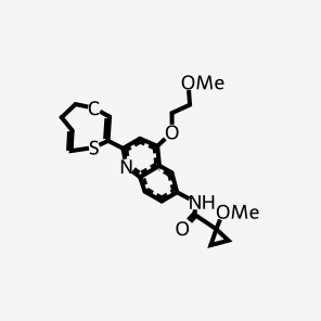 COCCOc1cc(/C2=C/CCC/C=C/S2)nc2ccc(NC(=O)C3(OC)CC3)cc12